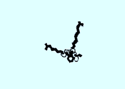 C=CC(=O)OC1(C(=O)OCCCCCCCC(C)C)CCCCC1C(=O)OCCCCCC(C)C